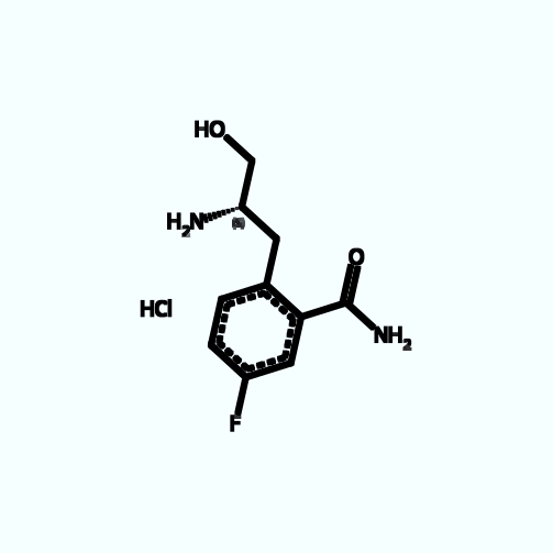 Cl.NC(=O)c1cc(F)ccc1C[C@H](N)CO